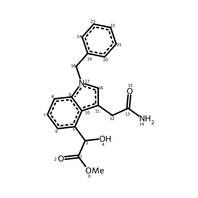 COC(=O)C(O)c1cccc2c1c(CC(N)=O)cn2Cc1ccccc1